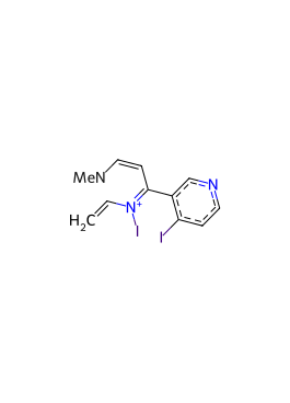 C=C/[N+](I)=C(\C=C/NC)c1cnccc1I